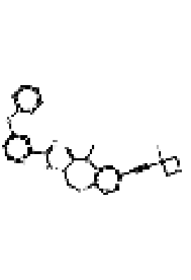 CN1C(=O)[C@@H](NC(=O)c2cc(Oc3ccccc3)ccn2)COc2ccc(C#CC3(F)CNC3)cc21